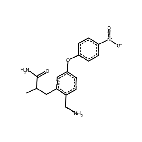 CC(Cc1cc(Oc2ccc([N+](=O)[O-])cc2)ccc1CN)C(N)=O